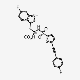 O=C(O)[C@@H](Cc1c[nH]c2cc(F)ccc12)NS(=O)(=O)c1ccc(C#Cc2ccc(F)cc2)s1